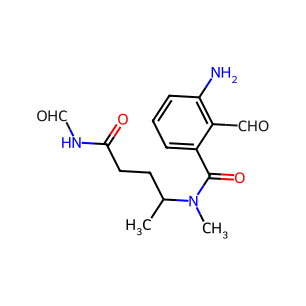 CC(CCC(=O)NC=O)N(C)C(=O)c1cccc(N)c1C=O